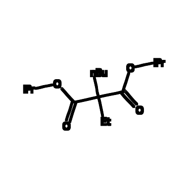 CCCCC(CC)(C(=O)OC(C)C)C(=O)OC(C)C